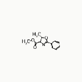 COC(=O)C1N=C(c2ccccc2)OC1C